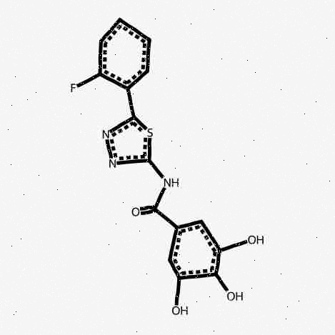 O=C(Nc1nnc(-c2ccccc2F)s1)c1cc(O)c(O)c(O)c1